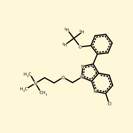 [2H]C([2H])([2H])Oc1ccccc1-c1nn(COCC[Si](C)(C)C)c2nc(Cl)ccc12